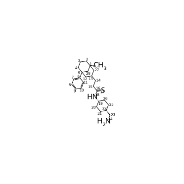 CC12CCCC(c3ccccc3)(CC(CCC(=S)N[C@H]3CC[C@H](CN)CC3)C1)C2